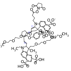 CC[N+]1=C(/C=C/C2=C(Oc3ccc(S(=O)(=O)O)cc3)C(=C/C=C3/N(CCCC(=O)ON4C(=O)CCC4=O)c4ccc5c(S(=O)(=O)[O-])cc(S(=O)(=O)O)cc5c4C3(C)CCOCCOCCOCCOC)/CCC2)C(C)(CCOCCOCCOCCOC)c2c1ccc1c(S(=O)(=O)O)cc(S(=O)(=O)O)cc21